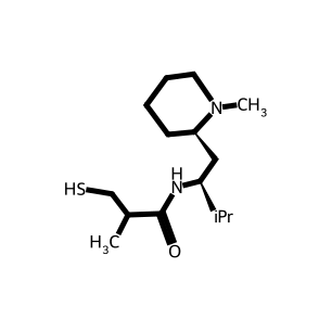 CC(CS)C(=O)N[C@@H](C[C@H]1CCCCN1C)C(C)C